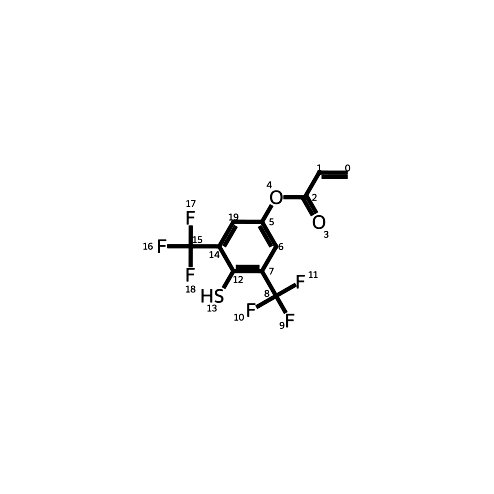 C=CC(=O)Oc1cc(C(F)(F)F)c(S)c(C(F)(F)F)c1